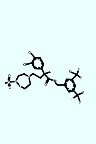 CC(CCN1CCCN(S(C)(=O)=O)CC1)(C(=O)NCc1cc(C(F)(F)F)cc(C(F)(F)F)c1)c1ccc(Cl)c(Cl)c1